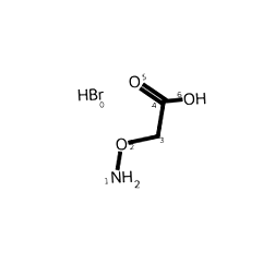 Br.NOCC(=O)O